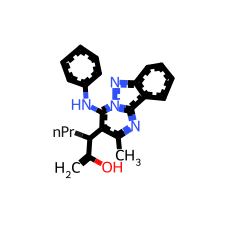 C=C(O)C(CCC)c1c(C)nc2c3ccccc3nn2c1Nc1ccccc1